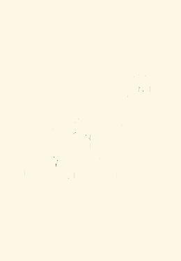 CS(=O)(=O)NOc1cccc(CCNC(=O)[C@@H]2c3ccccc3C(=O)N([C@H]3CCCC[C@@H]3O)[C@H]2c2ccc(Cl)cc2Cl)c1